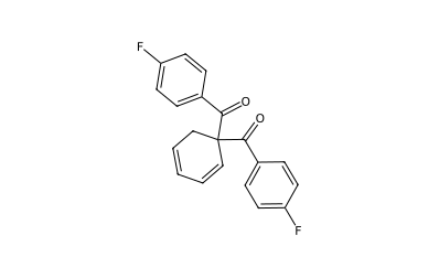 O=C(c1ccc(F)cc1)C1(C(=O)c2ccc(F)cc2)C=CC=CC1